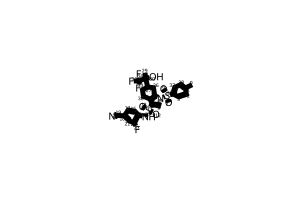 Cc1ccc(S(=O)(=O)n2cc(S(=O)(=O)Nc3ccc(C#N)cc3F)c3c2CC(C(C)(O)C(F)(F)F)CC3)cc1